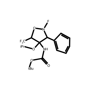 CC(C)OC1(NC(=O)OC(C)(C)C)C(c2ccccc2)N(F)OC1C(F)(F)F